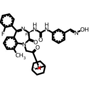 Cc1cccc2c1N(CC(=O)N1CC3CCC(CC3)C1)C(=O)[C@H](NC(=O)Nc1cccc(C=NO)c1)N=C2c1ccccc1F